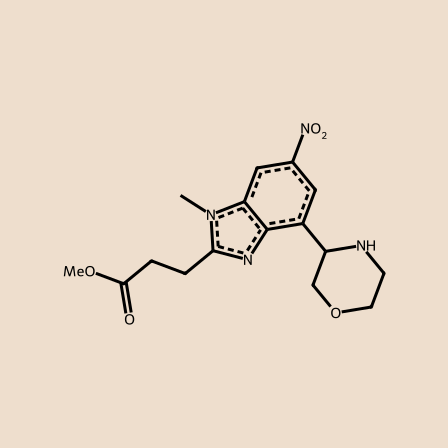 COC(=O)CCc1nc2c(C3COCCN3)cc([N+](=O)[O-])cc2n1C